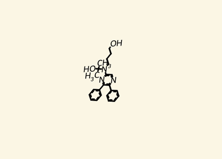 CC(C)(O)N(CCCCO)c1cnc(-c2ccccc2)c(-c2ccccc2)n1